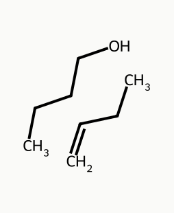 C=CCC.CCCCO